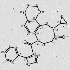 O=C(c1ncoc1-c1ccccc1)N1CCC(=O)N(C2CC2)Cc2c1ccc1c2OCCO1